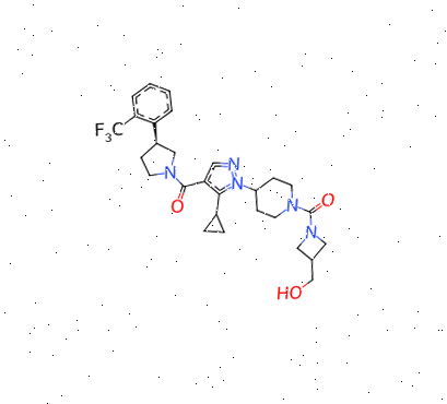 O=C(c1cnn(C2CCN(C(=O)N3CC(CO)C3)CC2)c1C1CC1)N1CC[C@@H](c2ccccc2C(F)(F)F)C1